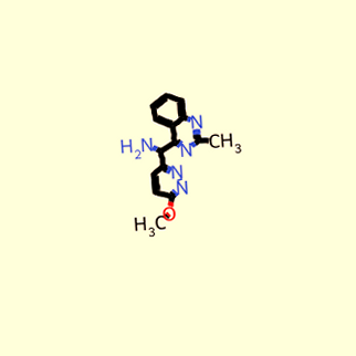 COc1ccc(C(N)c2nc(C)nc3ccccc23)nn1